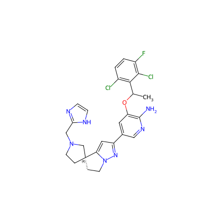 CC(Oc1cc(-c2cc3n(n2)CC[C@@]32CCN(Cc3ncc[nH]3)C2)cnc1N)c1c(Cl)ccc(F)c1Cl